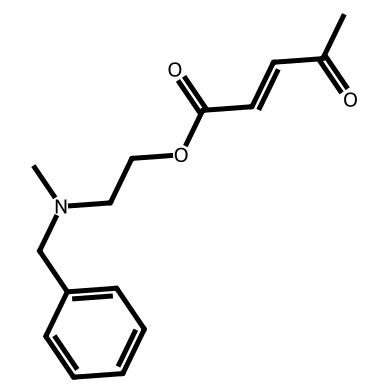 CC(=O)/C=C/C(=O)OCCN(C)Cc1ccccc1